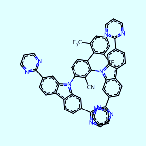 N#Cc1c(-n2c3cc(-c4ncccn4)ccc3c3ccc(-c4ncccn4)cc32)ccc(-c2c(C(F)(F)F)cccc2C(F)(F)F)c1-n1c2cc(-c3ncccn3)ccc2c2ccc(-c3ncccn3)cc21